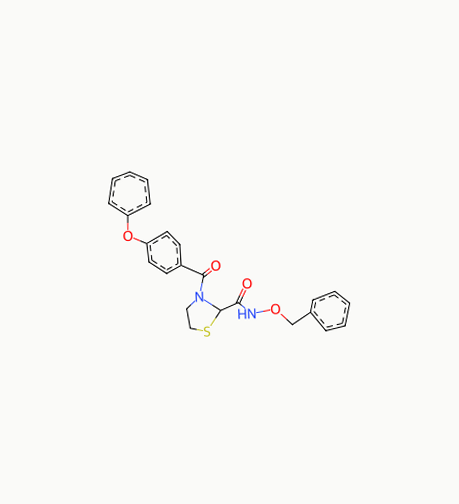 O=C(NOCc1ccccc1)C1SCCN1C(=O)c1ccc(Oc2ccccc2)cc1